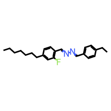 CCCCCCCc1ccc(C=NN=Cc2ccc(CC)cc2)c(F)c1